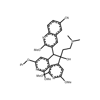 COc1cc(C(O)(CCN(C)C)C(c2cc(OC)nc(OC(C)C)c2)c2cc3cc(C#N)ccc3nc2OC)cc(OC)n1